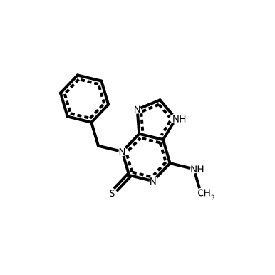 CNc1nc(=S)n(Cc2ccccc2)c2nc[nH]c12